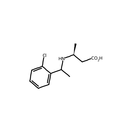 CC(N[C@@H](C)CC(=O)O)c1ccccc1Cl